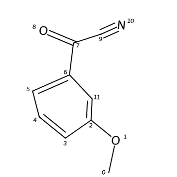 COc1cccc(C(=O)C#N)c1